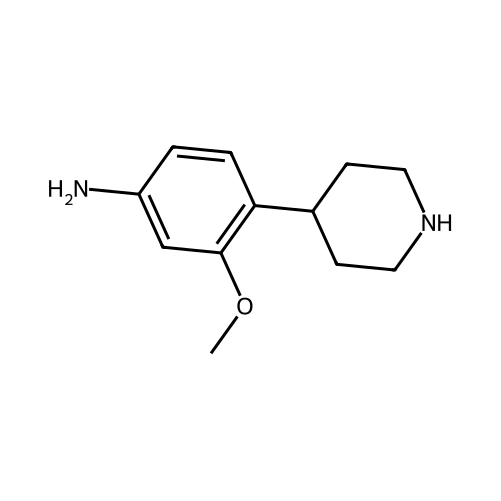 COc1cc(N)ccc1C1CCNCC1